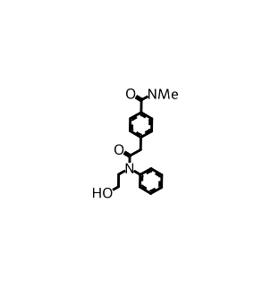 CNC(=O)c1ccc(CC(=O)N(CCO)c2ccccc2)cc1